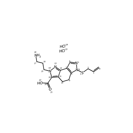 C=CCSn1ncc2c1CCc1c-2nn(CCCN)c1C(=O)O.Cl.Cl